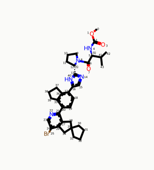 COC(=O)N[C@H](C(=O)N1CCC[C@H]1c1ncc(-c2ccc(-c3ncc(Br)c4c3CC3(CCCC3)C4)c3c2CCC3)[nH]1)C(C)C